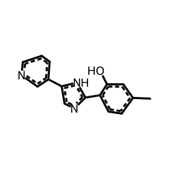 Cc1ccc(-c2ncc(-c3cccnc3)[nH]2)c(O)c1